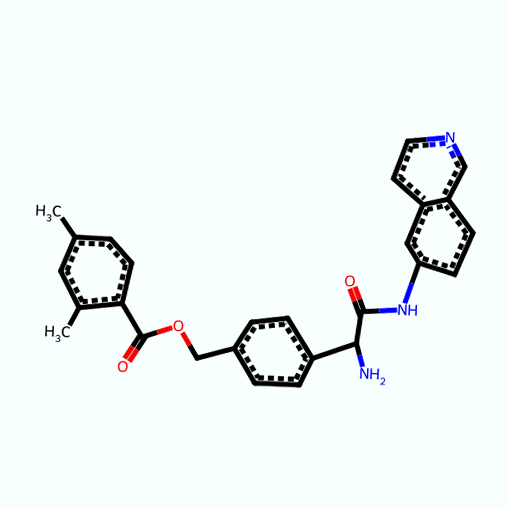 Cc1ccc(C(=O)OCc2ccc(C(N)C(=O)Nc3ccc4cnccc4c3)cc2)c(C)c1